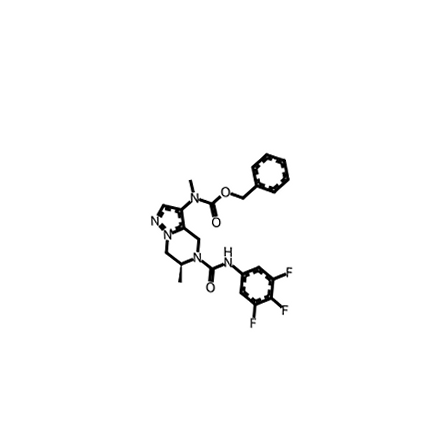 C[C@H]1Cn2ncc(N(C)C(=O)OCc3ccccc3)c2CN1C(=O)Nc1cc(F)c(F)c(F)c1